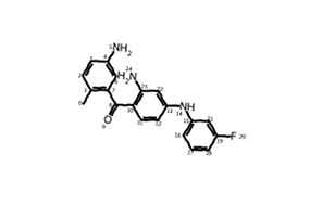 Cc1ccc(N)cc1C(=O)c1ccc(Nc2cccc(F)c2)cc1N